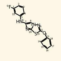 Fc1cccc(Nc2cn3nc(Oc4ccccc4)sc3n2)c1